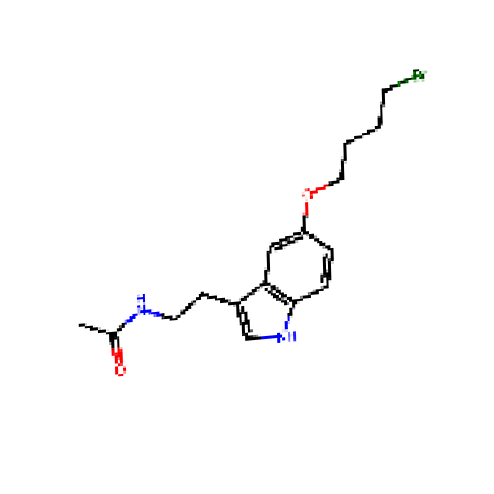 CC(=O)NCCc1c[nH]c2ccc(OCCCCBr)cc12